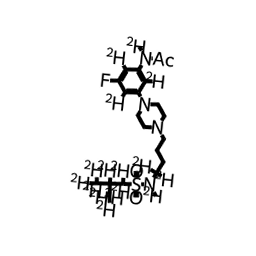 [2H]c1c(F)c([2H])c(N([2H])C(C)=O)c([2H])c1N1CCN(CCCC([2H])([2H])N([2H])S(=O)(=O)C([2H])([2H])C([2H])(C([2H])([2H])[2H])C([2H])([2H])[2H])CC1